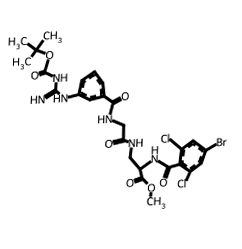 COC(=O)C(CNC(=O)CNC(=O)c1cccc(NC(=N)NC(=O)OC(C)(C)C)c1)NC(=O)c1c(Cl)cc(Br)cc1Cl